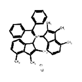 CC1=C(C)[CH]([Ti+2](=[C](c2ccccc2)c2ccccc2)[CH]2C(C)=C(C)c3c(C)cccc32)c2cccc(C)c21.[Cl-].[Cl-]